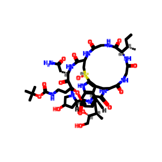 CC[C@H](C)[C@@H]1NC(=O)CNC(=O)C2Cc3c4[nH]c5cc(ccc35)OC(CCNC(=O)OC(C)(C)C)(C(=O)[C@H](CC(N)=O)NC(=O)C(C[S@@+]4[O-])NC(=O)CNC1=O)N1CC(O)C[C@H]1C(=O)N[C@@H]([C@@H](C)[C@@H](O)CO)C(=O)N2